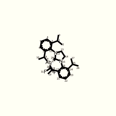 CC(C)c1cccc(C(C)C)c1N1CCN(c2c(C(C)C)cccc2C(C)C)[C]1=[Ag-2][CH](F)F